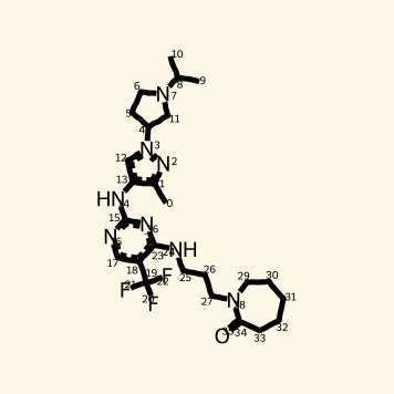 Cc1nn(C2CCN(C(C)C)C2)cc1Nc1ncc(C(F)(F)F)c(NCCCN2CCCCCC2=O)n1